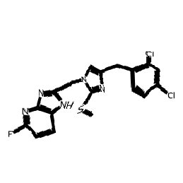 CSc1nc(Cc2ccc(Cl)cc2Cl)cn1Cc1nc2nc(F)ccc2[nH]1